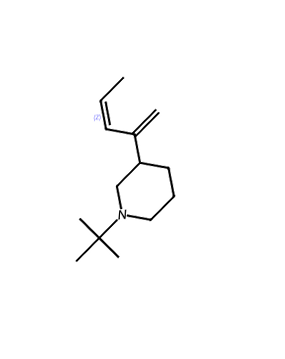 C=C(/C=C\C)C1CCCN(C(C)(C)C)C1